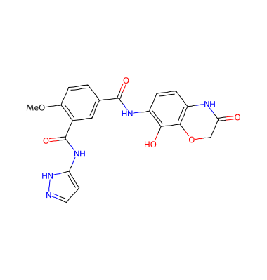 COc1ccc(C(=O)Nc2ccc3c(c2O)OCC(=O)N3)cc1C(=O)Nc1ccn[nH]1